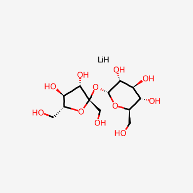 OC[C@H]1O[C@@](CO)(O[C@H]2O[C@H](CO)[C@@H](O)[C@H](O)[C@H]2O)[C@@H](O)[C@@H]1O.[LiH]